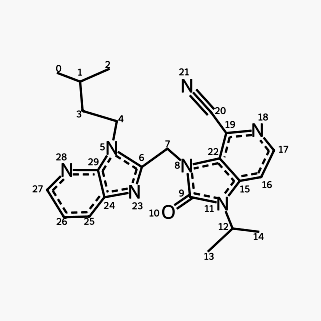 CC(C)CCn1c(Cn2c(=O)n(C(C)C)c3ccnc(C#N)c32)nc2cccnc21